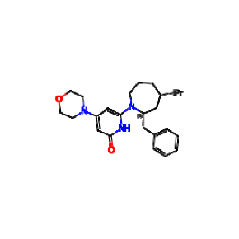 CC(C)C1CCCN(c2cc(N3CCOCC3)cc(=O)[nH]2)[C@@H](Cc2ccccc2)C1